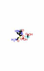 NC(=O)CSC1=C(OC(=O)O)N2C(=O)[C@H]3NCCC1[C@H]32.O=C(O)C(F)(F)F